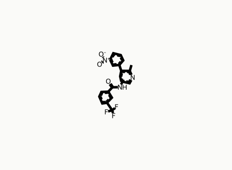 Cc1ncc(NC(=O)c2cccc(C(F)(F)F)c2)cc1-c1cccc([N+](=O)[O-])c1